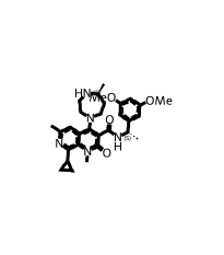 COc1cc(OC)cc([C@H](C)NC(=O)c2c(N3CCN[C@@H](C)CC3)c3cc(C)nc(C4CC4)c3n(C)c2=O)c1